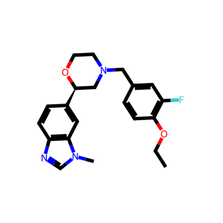 CCOc1ccc(CN2CCO[C@H](c3ccc4ncn(C)c4c3)C2)cc1F